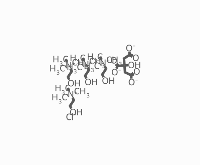 C[N+](C)(C)CCO.C[N+](C)(C)CCO.C[N+](C)(C)CCO.C[N+](C)(C)CCO.O=C([O-])CC(O)(CC(=O)[O-])C(=O)[O-].[Cl-]